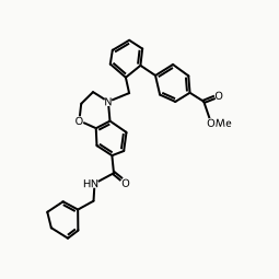 COC(=O)c1ccc(-c2ccccc2CN2CCOc3cc(C(=O)NCC4=CCCC=C4)ccc32)cc1